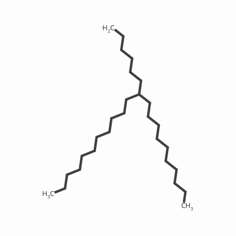 [CH2]CCCCCC(CCCCCCCCCC)CCCCCCCCCCC